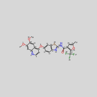 COc1cc2nccc(Oc3ccc4nc(NC(=O)c5cc(C)oc5C(F)(F)F)sc4c3)c2cc1OC